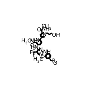 CNC(=O)c1nc(-c2cc(C(=O)NC)n(CCCO)c2)ccc1Nc1nc(Nc2ccc(CP=O)cc2OC)ncc1C(F)(F)F